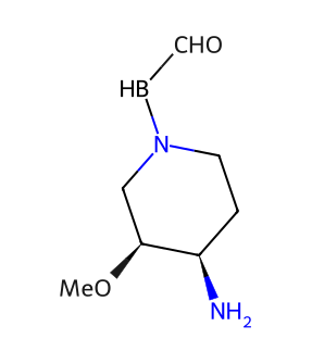 CO[C@H]1CN(BC=O)CC[C@H]1N